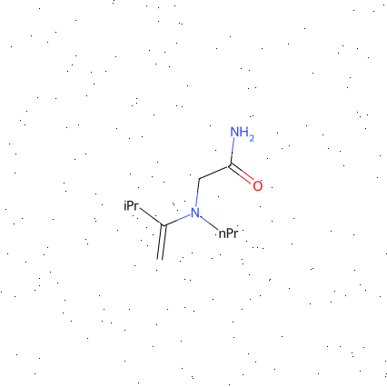 C=C(C(C)C)N(CCC)CC(N)=O